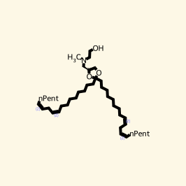 CCCCC/C=C\C/C=C\CCCCCCCCC1(CCCCCCCC/C=C\C/C=C\CCCCC)OC[C@H](CN(C)CCO)O1